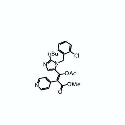 CCCCc1ncc(C(OC(C)=O)=C(C(=O)OC)c2ccncc2)n1Cc1ccccc1Cl